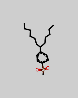 CCCCCCC(CCCCC)c1ccc(S(C)(=O)=O)cc1